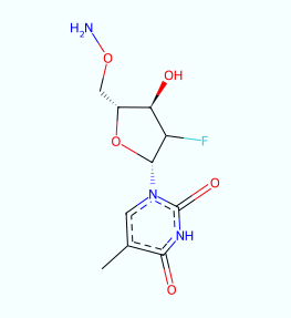 Cc1cn([C@@H]2O[C@H](CON)[C@@H](O)C2F)c(=O)[nH]c1=O